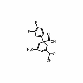 CC1=CC(C(=O)O)(c2ccc(F)c(F)c2)CC(C(=O)O)=C1